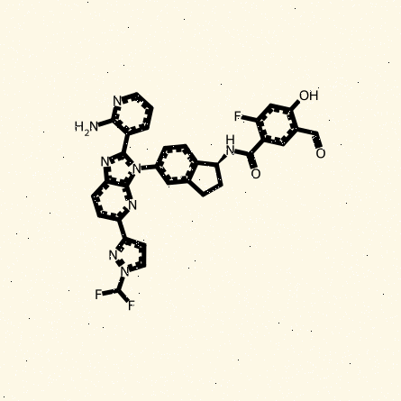 Nc1ncccc1-c1nc2ccc(-c3ccn(C(F)F)n3)nc2n1-c1ccc2c(c1)CC[C@@H]2NC(=O)c1cc(C=O)c(O)cc1F